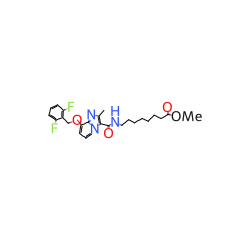 COC(=O)CCCCCCCNC(=O)c1c(C)nc2c(OCc3c(F)cccc3F)cccn12